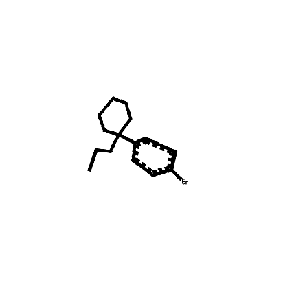 CCCC1(c2ccc(Br)cc2)CCCCC1